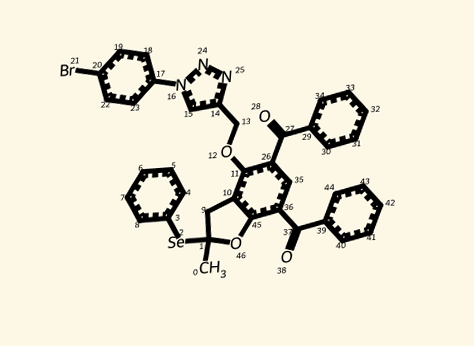 CC1([Se]c2ccccc2)Cc2c(OCc3cn(-c4ccc(Br)cc4)nn3)c(C(=O)c3ccccc3)cc(C(=O)c3ccccc3)c2O1